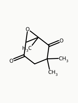 CC1(C)CC(=O)C2OC2(C)C1=O